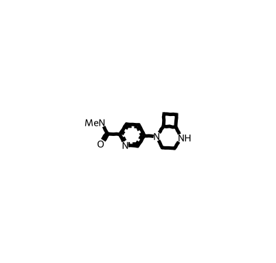 CNC(=O)c1ccc(N2CCNC3CCC32)cn1